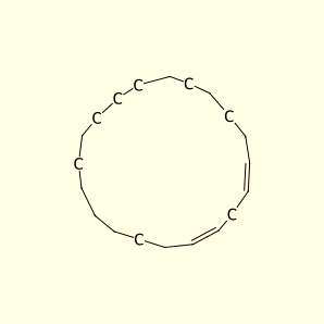 C1=CCCCCCCCCCCCCCCCC=CC1